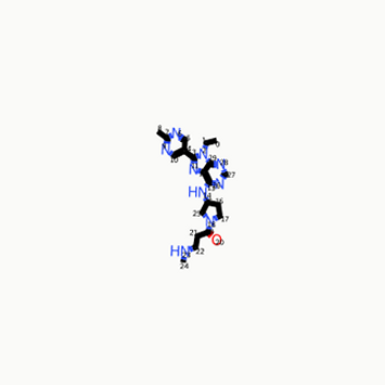 CCn1c(-c2cnc(C)nc2)nc2c(NC3CCN(C(=O)CCNC)C3)ncnc21